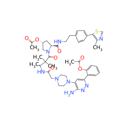 CC(=O)Oc1ccccc1-c1cc(N2CCN(CC(=O)N[C@@H](C)C(C)(C)C(=O)N3C[C@H](OC(C)=O)C[C@H]3C(=O)NCCc3ccc(-c4scnc4C)cc3)CC2)c(N)nn1